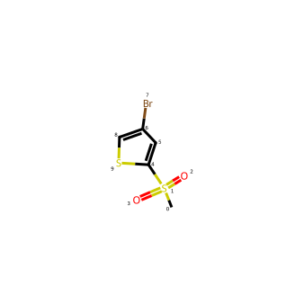 CS(=O)(=O)c1cc(Br)cs1